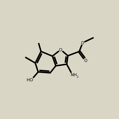 COC(=O)c1oc2c(C)c(C)c(O)cc2c1N